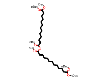 CCCCCCCCCCOC(CCCCCCCCCC=CC(OCCCC)OC(C=CCCCCCCCCCC(OCCCCCCCCCC)OCCCCCCCCCC)OCCCC)OCCCCCCCCCC